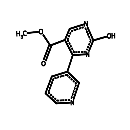 COC(=O)c1cnc(O)nc1-c1cccnc1